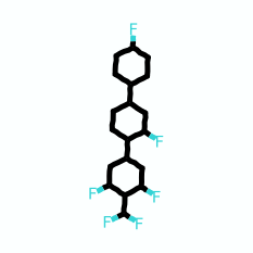 FC1CCC(C2CCC(C3CC(F)C(C(F)F)C(F)C3)C(F)C2)CC1